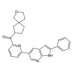 O=C(c1cccc(-c2cnc3[nH]c(-c4ccccc4)cc3c2)n1)C1CCC2(CCOC2)C1